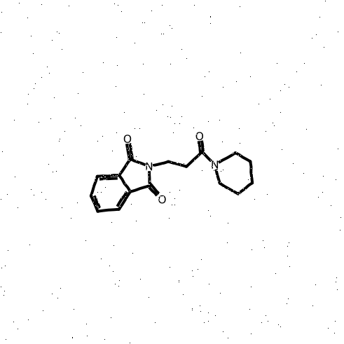 O=C(CCN1C(=O)c2ccccc2C1=O)N1CCCCC1